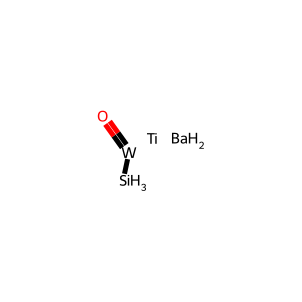 [BaH2].[O]=[W][SiH3].[Ti]